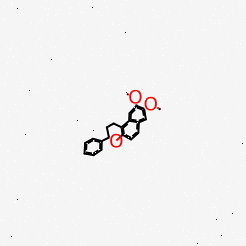 COc1cc2ccc3c(c2cc1OC)CCC(c1ccccc1)O3